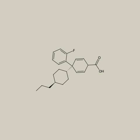 CCC[C@H]1CC[C@H](C2(c3ccccc3F)C=CC(C(=O)O)C=C2)CC1